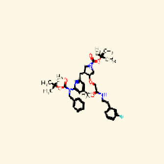 Cc1cc(CC2CN(C(=O)OC(C)(C)C)CC2OCC(=O)NCCc2cccc(F)c2)nc(N(Cc2ccccc2)C(=O)OC(C)(C)C)c1